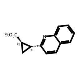 CCOC(=O)[C@@H]1C[C@H]1c1ccc2ccccc2n1